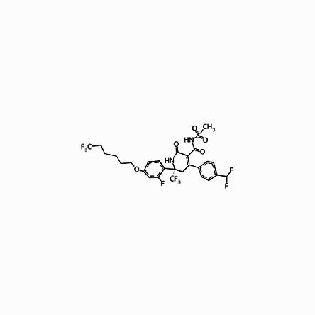 CS(=O)(=O)NC(=O)C1=C(c2ccc(C(F)F)cc2)C[C@](c2ccc(OCCCCCC(F)(F)F)cc2F)(C(F)(F)F)NC1=O